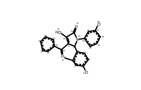 Cc1cc(Cl)ccc1C1C(C(=O)c2ccccc2)=C(O)C(=O)N1c1cccc(Cl)c1